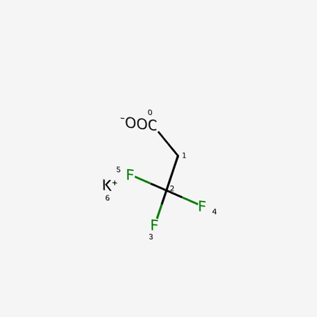 O=C([O-])CC(F)(F)F.[K+]